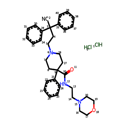 Cl.Cl.N#CC(CCN1CCC(C(=O)NCCN2CCOCC2)(c2ccccc2)CC1)(c1ccccc1)c1ccccc1